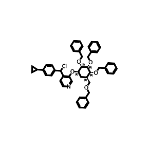 ClC(c1ccc(C2CC2)cc1)c1ccncc1O[C@@H]1C[C@H](COCc2ccccc2)[C@@H](OCc2ccccc2)[C@@H](OCc2ccccc2)[C@H]1OCc1ccccc1